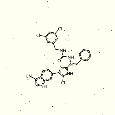 Nc1n[nH]c2cc(-c3nc([C@H](Cc4ccccc4)NC(=O)NCc4cc(Cl)cc(Cl)c4)[nH]c3Cl)ccc12